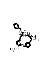 CN[C@H]1Cc2ccc(cc2)Oc2cc(ccc2OC)C[C@@H](C(=O)OCc2ccccc2)NC1=O